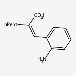 CCCCCC(=Cc1ccccc1N)C(=O)O